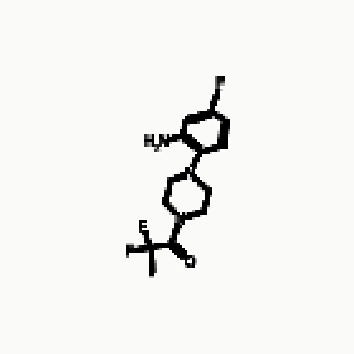 Nc1cc(F)ccc1N1CCN(C(=O)C(F)(F)F)CC1